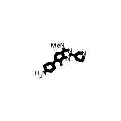 CNc1nc(-c2cccnc2)nc2c(C)c(-c3ccc(N)cc3)ccc12